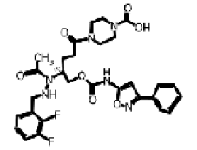 CC(=O)N(NCc1cccc(F)c1F)[C@@H](CCC(=O)N1CCN(C(=O)O)CC1)COC(=O)Nc1cc(-c2ccccc2)no1